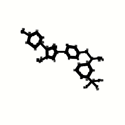 Cc1nc(-c2ccc(OC(C)c3cccc(C(F)(F)F)c3)cc2)[nH]c1-c1ccc(Cl)cc1